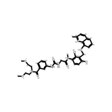 COCCN(CCOC)C(=O)c1cccc(NC(=O)NCC(=O)N(C)c2ccc(Cl)c(COc3cccc4ccc(C)nc34)c2Cl)c1